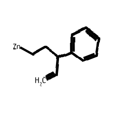 C=CC(C[CH2][Zn])c1ccccc1